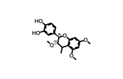 COc1cc(OC)c2c(c1)O[C@H](c1ccc(O)c(O)c1)[C@@H](OC)C2C